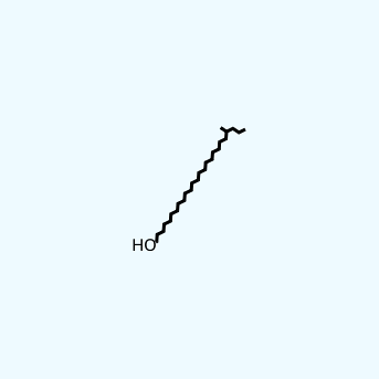 CCCC(C)CCCCCCCCCCCCCCCCCCCCCO